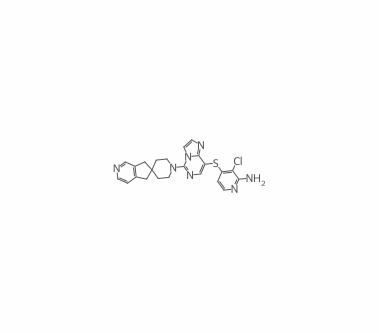 Nc1nccc(Sc2cnc(N3CCC4(CC3)Cc3ccncc3C4)n3ccnc23)c1Cl